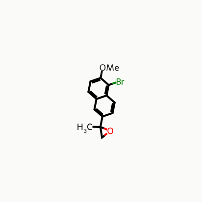 COc1ccc2cc(C3(C)CO3)ccc2c1Br